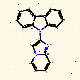 c1ccc2c(c1)c1ccccc1n2-c1cn2ccccc2n1